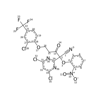 N#CC(Oc1ccccc1[N+](=O)[O-])(C(=O)CCOc1ccc(C(F)(F)F)cc1Cl)c1nc(Cl)cc(Cl)n1